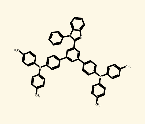 Cc1ccc(N(c2ccc(C)cc2)c2ccc(-c3cc(-c4ccc(N(c5ccc(C)cc5)c5ccc(C)cc5)cc4)cc(-c4nc5ccccc5n4-c4ccccc4)c3)cc2)cc1